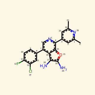 Cc1cc(-c2ncc(-c3ccc(F)c(Cl)c3)c3c(N)c(N)oc23)cc(C)n1